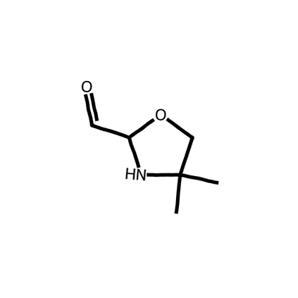 CC1(C)COC(C=O)N1